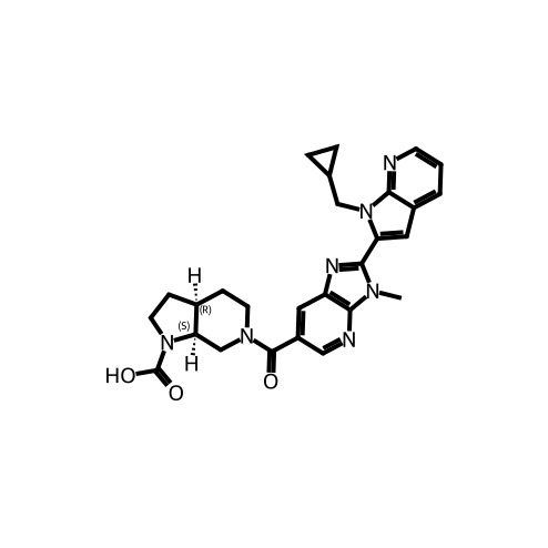 Cn1c(-c2cc3cccnc3n2CC2CC2)nc2cc(C(=O)N3CC[C@@H]4CCN(C(=O)O)[C@@H]4C3)cnc21